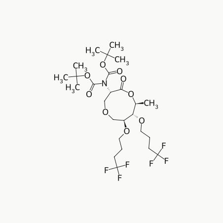 C[C@@H]1OC(=O)[C@@H](N(C(=O)OC(C)(C)C)C(=O)OC(C)(C)C)COC[C@H](OCCCC(F)(F)F)[C@H]1OCCCC(F)(F)F